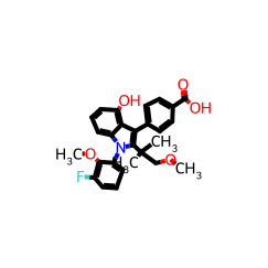 COCC(C)(C)c1c(-c2ccc(C(=O)O)cc2)c2c(O)cccc2n1-c1cccc(F)c1OC